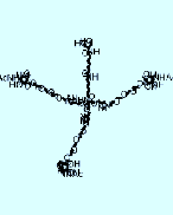 CC(=O)N[C@H]1[C@H]2OC[C@@](COCCOCCOCCOCCn3cc(COCC(COCc4cn(CCOCCOCCOCCOC[C@]56CO[C@@H](O5)[C@H](NC(C)=O)[C@@H](O)[C@H]6O)nn4)(COCc4cn(CCOCCOCCOCCOC[C@]56CO[C@@H](O5)[C@H](NC(C)=O)[C@@H](O)[C@H]6O)nn4)NC(=O)CCCCCNC(=O)CCCCCC(=O)NC(CO)CO)nn3)(O2)[C@H](O)[C@@H]1O